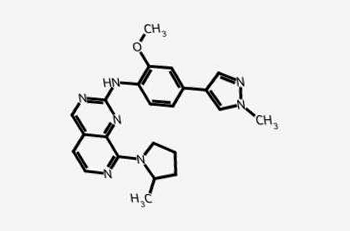 COc1cc(-c2cnn(C)c2)ccc1Nc1ncc2ccnc(N3CCCC3C)c2n1